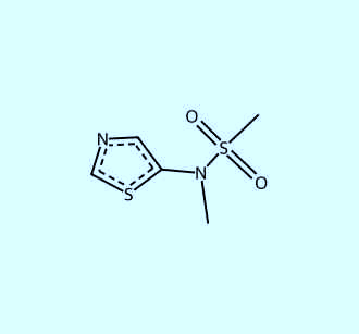 CN(c1cncs1)S(C)(=O)=O